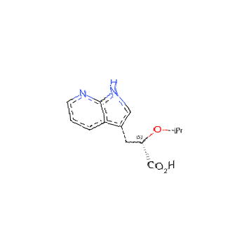 CC(C)O[C@@H](Cc1c[nH]c2ncccc12)C(=O)O